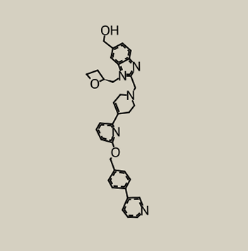 OCc1ccc2nc(CN3CC=C(c4cccc(OCc5ccc(-c6cccnc6)cc5)n4)CC3)n(C[C@@H]3CCO3)c2c1